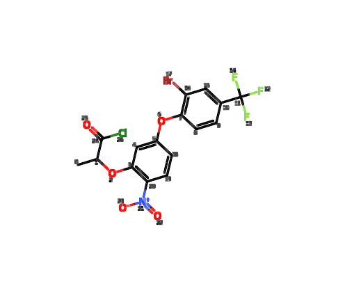 CC(Oc1cc(Oc2ccc(C(F)(F)F)cc2Br)ccc1[N+](=O)[O-])C(=O)Cl